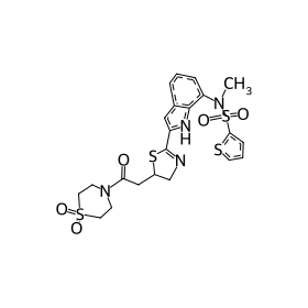 CN(c1cccc2cc(C3=NCC(CC(=O)N4CCS(=O)(=O)CC4)S3)[nH]c12)S(=O)(=O)c1cccs1